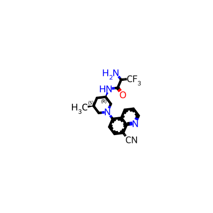 C[C@H]1C[C@@H](NC(=O)C(N)C(F)(F)F)CN(c2ccc(C#N)c3ncccc23)C1